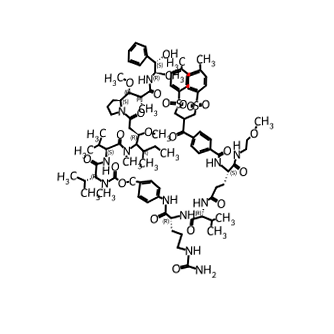 CC[C@@H](C)C([C@@H](CC(=O)N1CCC[C@H]1[C@H](OC)[C@@H](C)C(=O)N[C@H](C)[C@@H](O)c1ccccc1)OC)N(C)C(=O)[C@@H](NC(=O)[C@@H](C(C)C)N(C)C(=O)OCc1ccc(NC(=O)[C@@H](CCCNC(N)=O)NC(=O)[C@H](NC(=O)CC[C@H](NC(=O)c2ccc(C(=O)C(CS(=O)(=O)c3ccc(C)cc3)CS(=O)(=O)c3ccc(C)cc3)cc2)C(=O)NCCOC)C(C)C)cc1)C(C)C